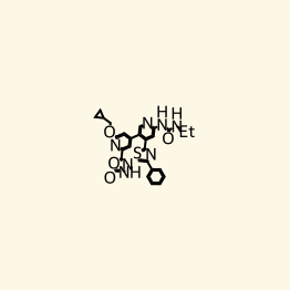 CCNC(=O)Nc1cc(-c2nc(-c3ccccc3)cs2)c(-c2cc(OCC3CC3)nc(-c3n[nH]c(=O)o3)c2)cn1